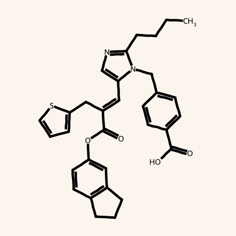 CCCCc1ncc(/C=C(\Cc2cccs2)C(=O)Oc2ccc3c(c2)CCC3)n1Cc1ccc(C(=O)O)cc1